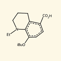 CCN1CCCc2c(C(=O)O)ccc(OCC(C)C)c21